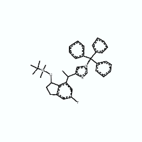 CC(c1cn(C(c2ccccc2)(c2ccccc2)c2ccccc2)cn1)c1cc(F)cc2c1C(O[Si](C)(C)C(C)(C)C)CC2